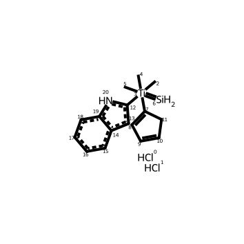 Cl.Cl.[CH3][Ti]([CH3])([CH3])(=[SiH2])([C]1=CC=CC1)[c]1cc2ccccc2[nH]1